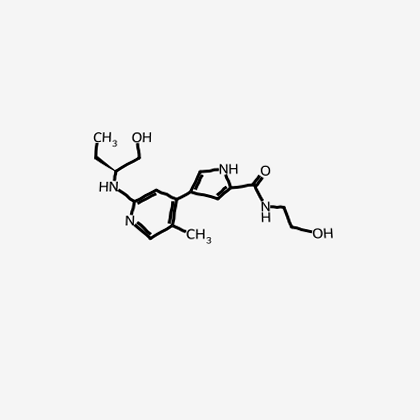 CC[C@@H](CO)Nc1cc(-c2c[nH]c(C(=O)NCCO)c2)c(C)cn1